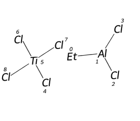 C[CH2][Al]([Cl])[Cl].[Cl][Ti]([Cl])([Cl])[Cl]